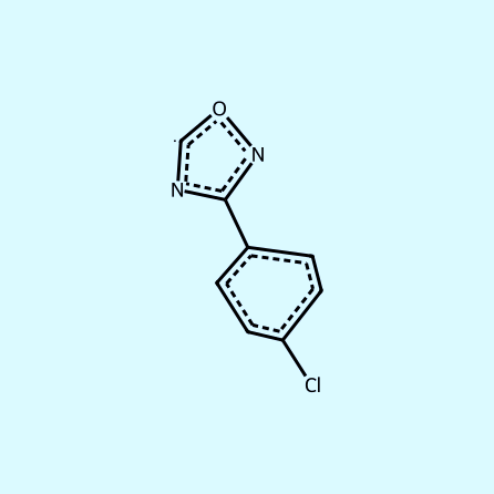 Clc1ccc(-c2n[c]on2)cc1